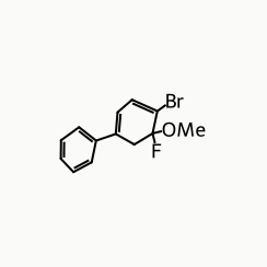 COC1(F)CC(c2ccccc2)=CC=C1Br